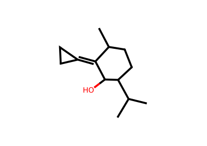 CC1CCC(C(C)C)C(O)C1=C1CC1